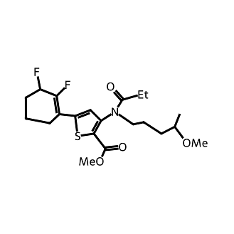 CCC(=O)N(CCCC(C)OC)c1cc(C2=C(F)C(F)CCC2)sc1C(=O)OC